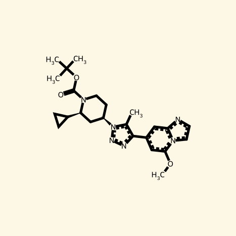 COc1cc(-c2nnn([C@@H]3CCN(C(=O)OC(C)(C)C)[C@H](C4CC4)C3)c2C)cc2nccn12